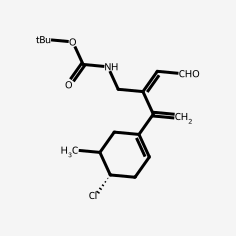 C=C(C1=CC[C@H](Cl)C(C)C1)/C(=C\C=O)CNC(=O)OC(C)(C)C